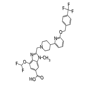 Cn1c(CN2CCC(c3cccc(OCc4ccc(C(F)(F)F)cc4)n3)CC2)nc2c(OC(F)F)cc(C(=O)O)cc21